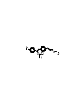 COc1ccc(-c2cc3ccc(CCCOC=O)cc3o[nH]o2)cc1